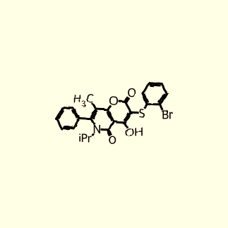 Cc1c(-c2ccccc2)n(C(C)C)c(=O)c2c(O)c(Sc3ccccc3Br)c(=O)oc12